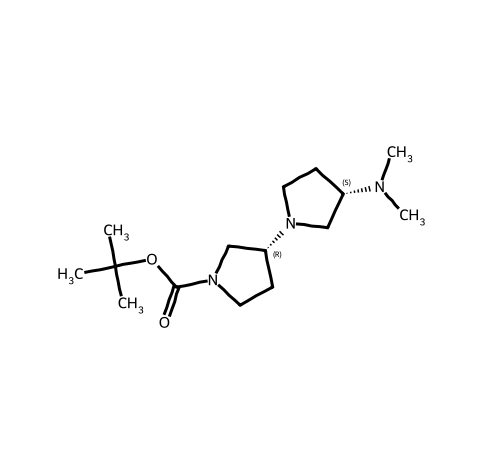 CN(C)[C@H]1CCN([C@@H]2CCN(C(=O)OC(C)(C)C)C2)C1